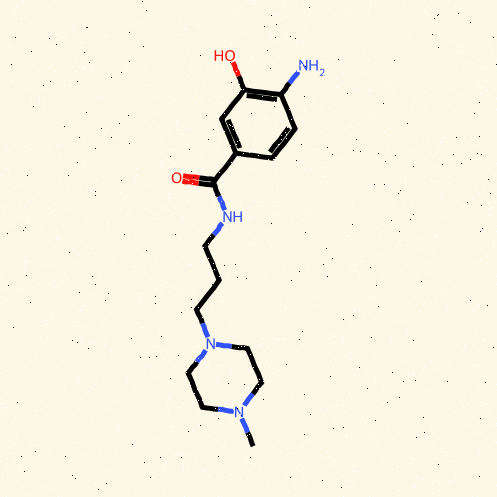 CN1CCN(CCCNC(=O)c2ccc(N)c(O)c2)CC1